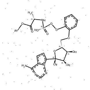 CC(C)OC(=O)[C@H](C)N[P@@](=O)(O)OOc1ccccc1OC[C@H]1O[C@@](C#N)(c2ccc3c(N)ncnn23)[C@H](O)[C@@H]1O